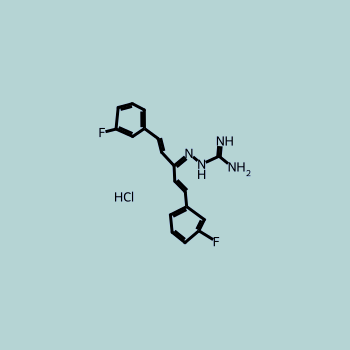 Cl.N=C(N)NN=C(C=Cc1cccc(F)c1)C=Cc1cccc(F)c1